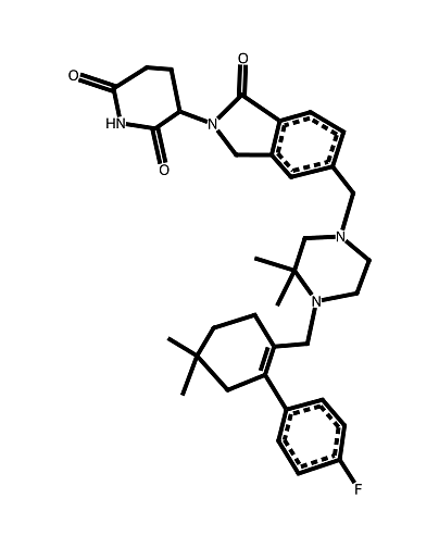 CC1(C)CCC(CN2CCN(Cc3ccc4c(c3)CN(C3CCC(=O)NC3=O)C4=O)CC2(C)C)=C(c2ccc(F)cc2)C1